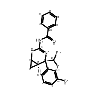 O=C(NC1=N[C@@](c2cccc(Br)c2)(C(F)F)[C@H]2CC2O1)c1ccccc1